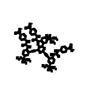 CC(C)(C)c1ccc(NC(=O)Nc2ccc([N+](=O)[O-])cc2)c(C#Cc2nc(C#Cc3cc(C(C)(C)C)ccc3NC(=O)Nc3ccc([N+](=O)[O-])cc3)nc(-c3cc(C(C)(C)C)ccc3NC(=O)Nc3ccc([N+](=O)[O-])cc3)n2)c1